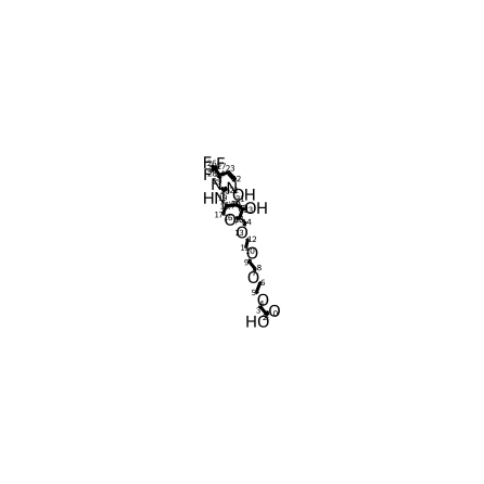 O=C(O)COCCOCCOCCOC[C@H]1OC[C@H](Nc2nccc(C(F)(F)F)n2)[C@@H](O)[C@H]1O